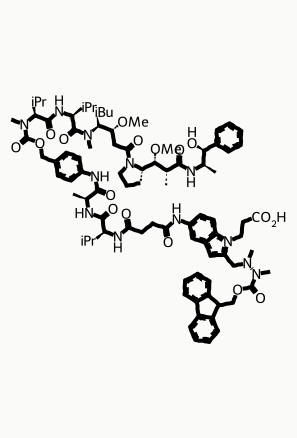 CC[C@H](C)[C@@H]([C@@H](CC(=O)N1CCC[C@H]1[C@H](OC)[C@@H](C)C(=O)N[C@H](C)[C@@H](O)c1ccccc1)OC)N(C)C(=O)[C@@H](NC(=O)[C@H](C(C)C)N(C)C(=O)OCc1ccc(NC(=O)[C@H](C)NC(=O)[C@@H](NC(=O)CCC(=O)Nc2ccc3c(c2)cc(CN(C)N(C)C(=O)OCC2c4ccccc4-c4ccccc42)n3CCC(=O)O)C(C)C)cc1)C(C)C